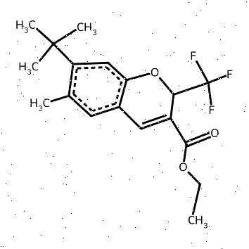 CCOC(=O)C1=Cc2cc(C)c(C(C)(C)C)cc2OC1C(F)(F)F